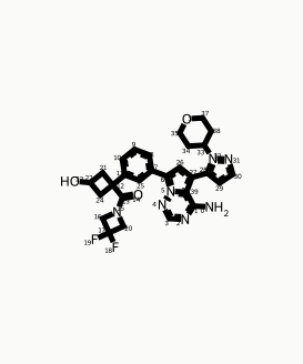 Nc1ncnn2c(-c3cccc(C4(C(=O)N5CC(F)(F)C5)CC(O)C4)c3)cc(-c3ccnn3C3CCOCC3)c12